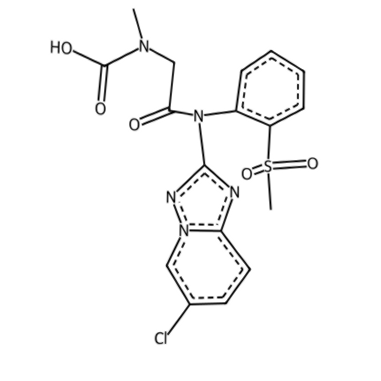 CN(CC(=O)N(c1nc2ccc(Cl)cn2n1)c1ccccc1S(C)(=O)=O)C(=O)O